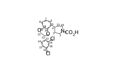 O=C(O)N1CCC(c2cccc3c2O[C@H](c2ccc(Cl)cc2Cl)CO3)CC1